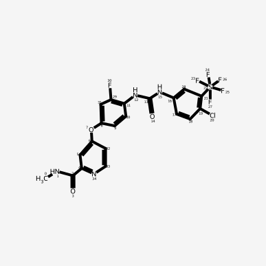 CNC(=O)c1cc(Oc2ccc(NC(=O)Nc3ccc(Cl)c(S(F)(F)(F)(F)F)c3)c(F)c2)ccn1